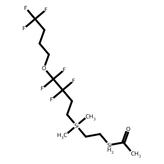 CC(=O)[SiH2]CC[Si](C)(C)CCC(F)(F)C(F)(F)OCCCC(F)(F)F